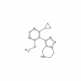 COc1ncnc(C2CC2)c1-c1nnn2c1CNCC2